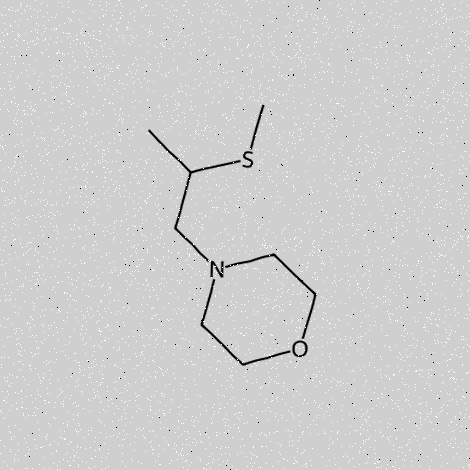 CSC(C)CN1CCOCC1